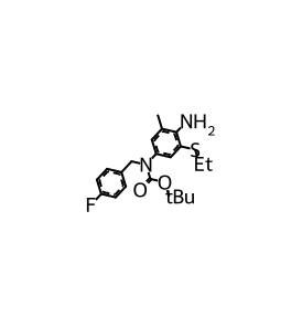 CCSc1cc(N(Cc2ccc(F)cc2)C(=O)OC(C)(C)C)cc(C)c1N